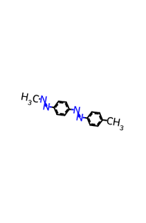 CN=Nc1ccc(N=Nc2ccc(C)cc2)cc1